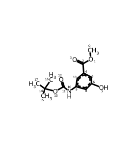 COC(=O)c1cc(O)cc(NC(=O)OC(C)(C)C)c1